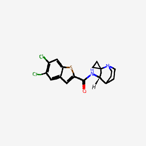 O=C(N[C@H]1C2CCN(CC2)C12CC2)c1cc2cc(Cl)c(Cl)cc2s1